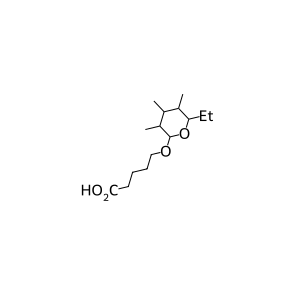 CCC1OC(OCCCCC(=O)O)C(C)C(C)C1C